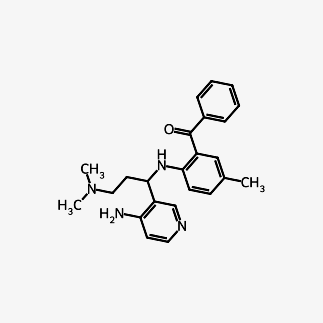 Cc1ccc(NC(CCN(C)C)c2cnccc2N)c(C(=O)c2ccccc2)c1